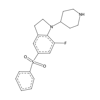 O=S(=O)(c1ccccc1)c1cc(F)c2c(c1)CCN2C1CCNCC1